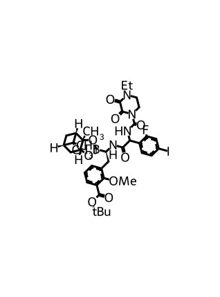 CCN1CCN(C(=O)NC(C(=O)N[C@@H](Cc2cccc(C(=O)OC(C)(C)C)c2OC)B2O[C@@H]3C[C@@H]4C[C@@H](C4(C)C)[C@]3(C)O2)c2ccc(I)cc2F)C(=O)C1=O